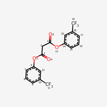 O=C(CC(=O)Oc1cccc(C(F)(F)F)c1)Oc1cccc(C(F)(F)F)c1